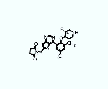 Cc1cc(Cl)cc(-c2ncnc3cc(CN4C(=O)CCC4=O)sc23)c1O[C@@H]1CCNC[C@H]1F